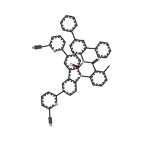 Cc1cccc(-n2c3ccc(-c4cccc(C#N)n4)cc3c3cc(-c4cccc(C#N)n4)ccc32)c1C(=O)N(C=O)c1ccc(-c2ccccc2)cc1-c1ccccc1